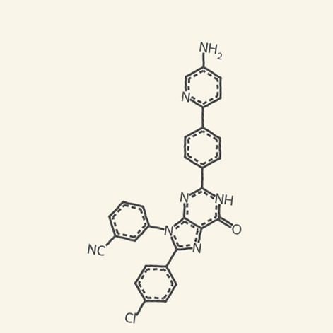 N#Cc1cccc(-n2c(-c3ccc(Cl)cc3)nc3c(=O)[nH]c(-c4ccc(-c5ccc(N)cn5)cc4)nc32)c1